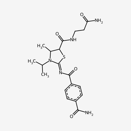 CC(C)N1C(=NC(=O)c2ccc(C(N)=O)cc2)SC(C(=O)NCCC(N)=O)C1C